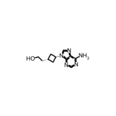 Nc1ncnc2c1ncn2[C@H]1C[C@@H](CCO)C1